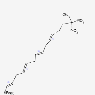 CCCCC/C=C/C/C=C/C/C=C/C/C=C/CCC([C]=O)([N+](=O)[O-])[N+](=O)[O-]